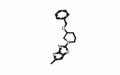 Cc1cc2sc(N3CCCC(OCc4ccccc4)C3)nc2s1